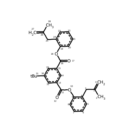 C=C(C)Cc1ccccc1OC(=O)c1cc(C(=O)Oc2ccccc2CC(=C)C)cc(C(C)(C)C)c1